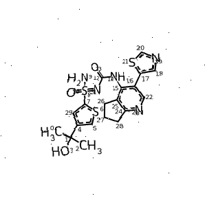 CC(C)(O)c1csc(S(N)(=O)=NC(=O)Nc2c(-c3cncs3)cnc3c2CCC3)c1